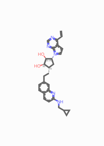 C=Cc1ncnc2c1ccn2[C@@H]1C[C@H](CCc2ccc3ccc(NCC4CC4)nc3c2)[C@@H](O)[C@H]1O